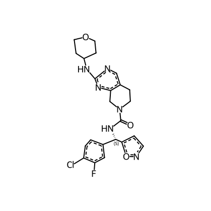 O=C(N[C@@H](c1ccc(Cl)c(F)c1)c1ccno1)N1CCc2cnc(NC3CCOCC3)nc2C1